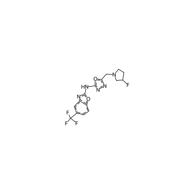 FC1CCN(Cc2nnc(Nc3nc4cc(C(F)(F)F)ccc4o3)o2)C1